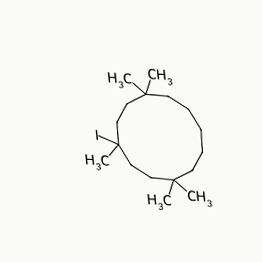 CC1(C)CCCCCC(C)(C)CCC(C)(I)CC1